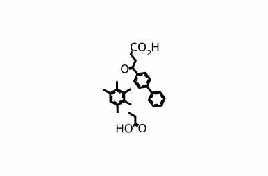 CCC(=O)O.Cc1cc(C)c(C)c(C)c1C.O=C(O)CCC(=O)c1ccc(-c2ccccc2)cc1